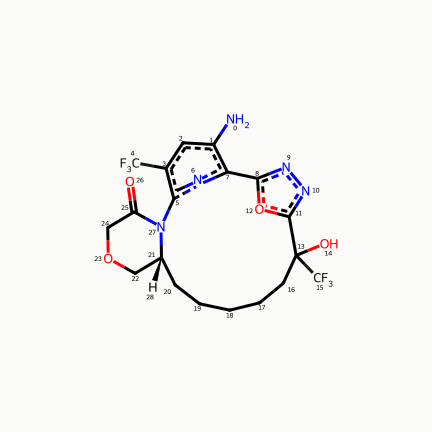 Nc1cc(C(F)(F)F)c2nc1-c1nnc(o1)C(O)(C(F)(F)F)CCCCC[C@@H]1COCC(=O)N21